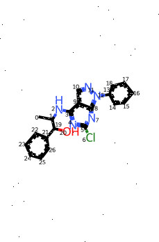 CC(Nc1nc(Cl)nc2c1cnn2-c1ccccc1)C(O)c1ccccc1